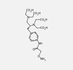 NOCC(=O)Nc1ccc(C[C@@H](CN(CC(=O)O)CC(=O)O)N(CC(=O)O)CC(=O)O)cc1